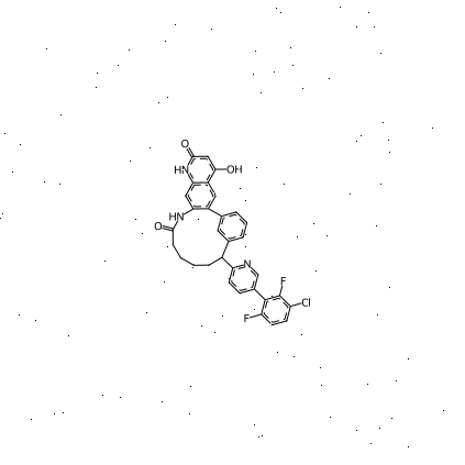 O=C1CCCCC(c2ccc(-c3c(F)ccc(Cl)c3F)cn2)c2cccc(c2)-c2cc3c(O)cc(=O)[nH]c3cc2N1